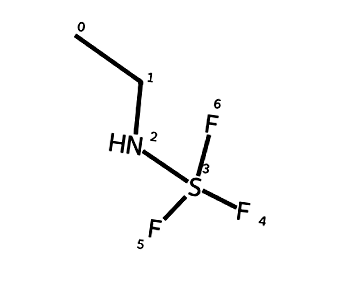 CCNS(F)(F)F